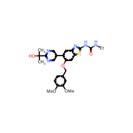 CCNC(=O)Nc1nc2cc(-c3cnc(C(C)(C)O)nc3)c(OCc3ccc(OC)c(OC)c3)cc2s1